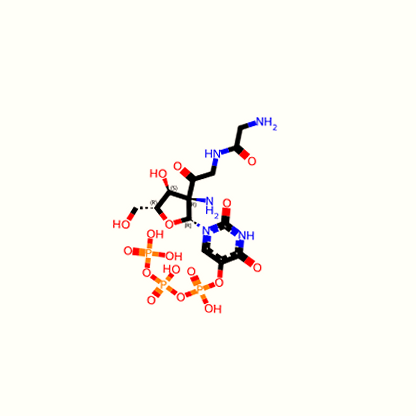 NCC(=O)NCC(=O)[C@@]1(N)[C@H](O)[C@@H](CO)O[C@H]1n1cc(OP(=O)(O)OP(=O)(O)OP(=O)(O)O)c(=O)[nH]c1=O